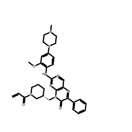 C=CC(=O)N1CCC[C@H](Cn2c(=O)c(-c3ccccc3)nc3cnc(Nc4ccc(N5CCN(C)CC5)cc4OC)nc32)C1